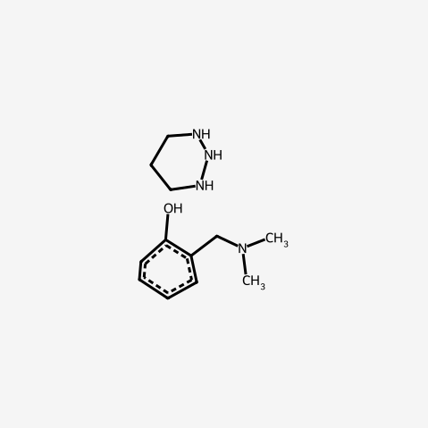 C1CNNNC1.CN(C)Cc1ccccc1O